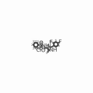 Cc1[nH]c(-c2ccc(F)cc2F)nc1C(=O)NS(=O)(=O)c1ccccc1Cl